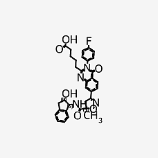 C[C@@]1(C(=O)N[C@H]2c3ccccc3C[C@H]2O)CC(c2ccc3c(=O)n(-c4ccc(F)cc4)c(CCCCC(=O)O)nc3c2)=NO1